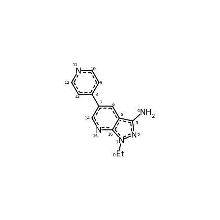 CCn1nc(N)c2cc(-c3ccncc3)cnc21